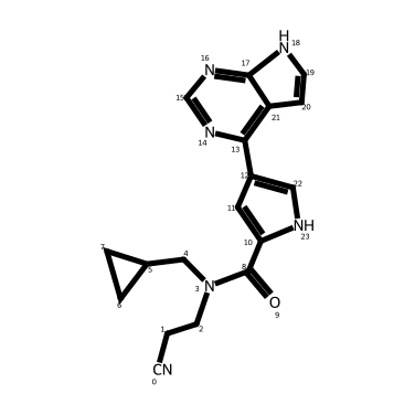 N#CCCN(CC1CC1)C(=O)c1cc(-c2ncnc3[nH]ccc23)c[nH]1